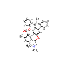 CCC(=C(c1ccc(OCCN(C)C)cc1)c1ccccc1OC(=O)c1ccccc1CC)c1ccccc1